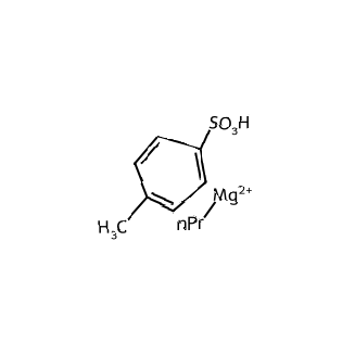 CC[CH2][Mg+2].Cc1ccc(S(=O)(=O)O)cc1